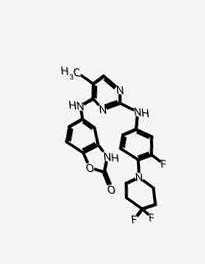 Cc1cnc(Nc2ccc(N3CCC(F)(F)CC3)c(F)c2)nc1Nc1ccc2oc(=O)[nH]c2c1